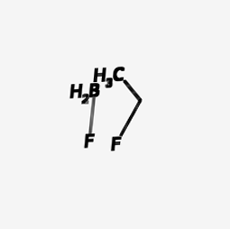 BF.CCF